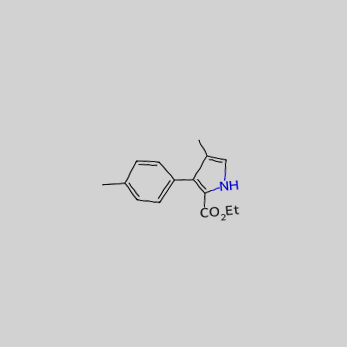 CCOC(=O)c1[nH]cc(C)c1-c1ccc(C)cc1